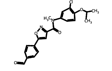 CC(C)Oc1ccc(N(C)C(=O)c2cc(-c3ccc(C=O)cc3)on2)cc1Cl